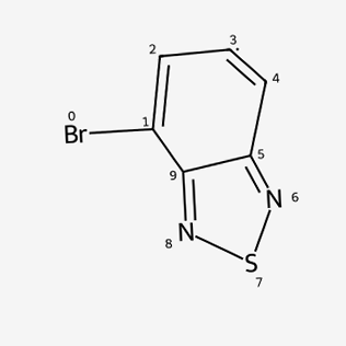 Brc1c[c]cc2nsnc12